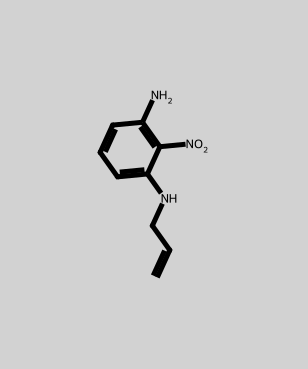 C=CCNc1cccc(N)c1[N+](=O)[O-]